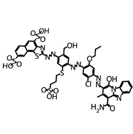 CCCOc1cc(N=Nc2c(C)c(C(N)=O)c3nc4ccccc4n3c2O)c(Cl)cc1N=Nc1cc(CO)c(N=Nc2nc3c(S(=O)(=O)O)cc4ccc(S(=O)(=O)O)cc4c3s2)cc1SCCCS(=O)(=O)O